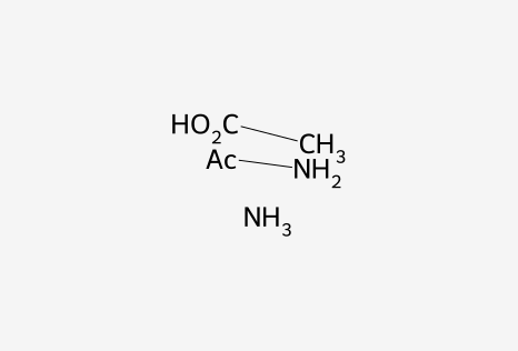 CC(=O)O.CC(N)=O.N